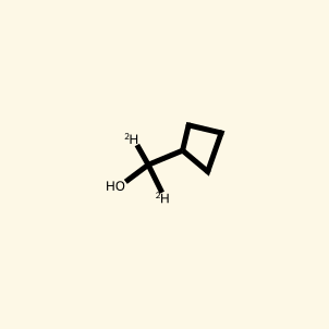 [2H]C([2H])(O)C1CCC1